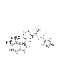 C[C@@H]1CCN(C(=O)CCc2ccsc2)C[C@@H]1n1ccc2cnc3[nH]ccc3c21